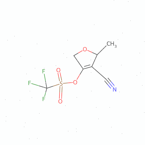 CC1OCC(OS(=O)(=O)C(F)(F)F)=C1C#N